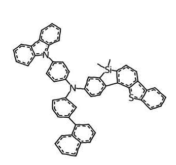 C[Si]1(C)c2cc(N(c3ccc(-n4c5ccccc5c5ccccc54)cc3)c3cccc(-c4cccc5ccccc45)c3)ccc2-c2c1ccc1c2sc2ccccc21